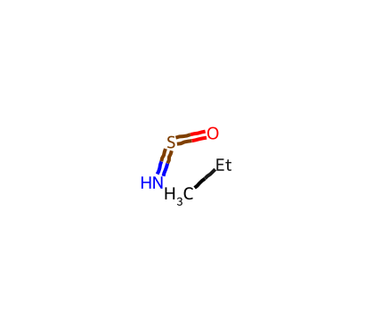 CCC.N=S=O